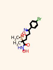 C[S+]([O-])C(C)(CC1CC(c2ccc(Br)cc2)=NO1)C(=O)NO